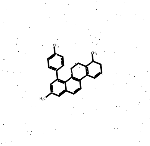 Cc1ccc(-c2cc(C)cc3ccc4c(c23)CCC2=C4C=CCC2C)cc1